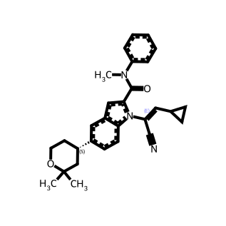 CN(C(=O)c1cc2cc([C@H]3CCOC(C)(C)C3)ccc2n1/C(C#N)=C/C1CC1)c1ccccc1